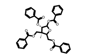 C[C@@]1(COC(=O)c2ccccc2)C(COC(=O)c2ccccc2)OC(OC(=O)c2ccccc2)[C@H]1OC(=O)c1ccccc1